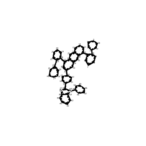 c1ccc(-c2ccccc2-c2cccc3cc4c(-c5ccccc5-c5ccccc5)cc(-c5ccc(-c6nc7ccccc7n6-c6ccccc6)cc5)cc4cc23)cc1